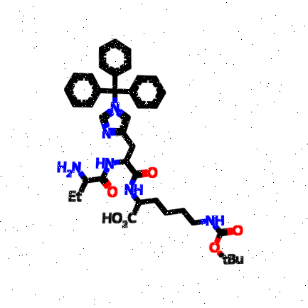 CCC(N)C(=O)NC(Cc1cn(C(c2ccccc2)(c2ccccc2)c2ccccc2)cn1)C(=O)NC(CCCCNC(=O)OC(C)(C)C)C(=O)O